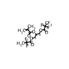 C=C(C)C(=O)OC(COC(=O)C(C)(F)F)COC(=O)C(F)(F)C(F)(F)F